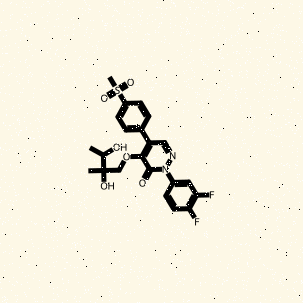 CC(O)C(C)(O)COc1c(-c2ccc(S(C)(=O)=O)cc2)cnn(-c2ccc(F)c(F)c2)c1=O